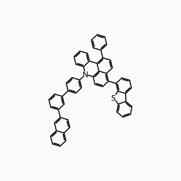 c1ccc(-c2ccc3c(-c4cccc5c4sc4ccccc45)ccc4c3c2-c2ccccc2N4c2ccc(-c3cccc(-c4ccc5ccccc5c4)c3)cc2)cc1